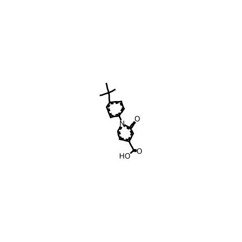 CC(C)(C)c1ccc(-n2ccc(C(=O)O)cc2=O)cc1